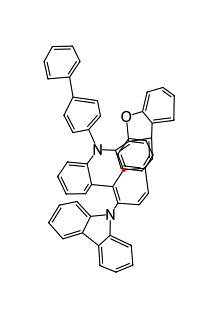 c1ccc(-c2ccc(N(c3ccccc3-c3c(-n4c5ccccc5c5ccccc54)ccc4ccccc34)c3cccc4c3oc3ccccc34)cc2)cc1